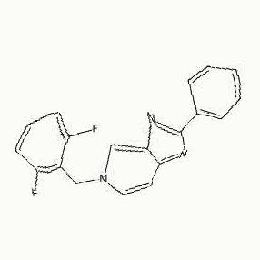 Fc1cccc(F)c1Cn1ccc2nc(-c3ccccc3)nc-2c1